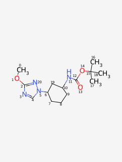 COc1ncn(C2CCCC(NC(=O)OC(C)(C)C)C2)n1